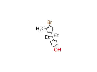 CCC(CC)(c1ccc(O)cc1)c1ccc(Br)c(C)c1